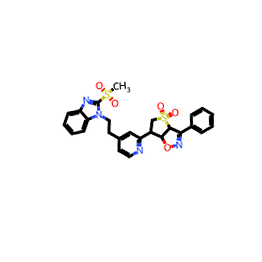 CS(=O)(=O)c1nc2ccccc2n1CCc1ccnc(C2CS(=O)(=O)C3C(c4ccccc4)=NOC23)c1